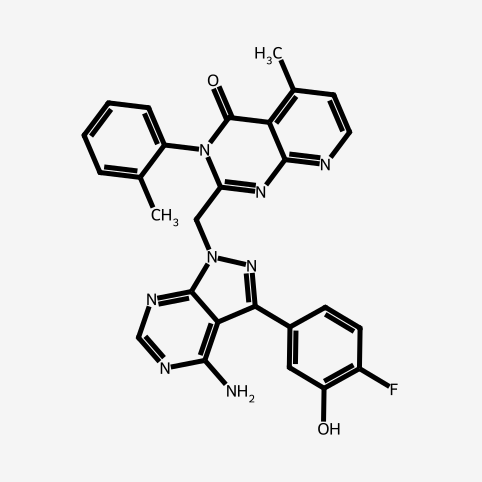 Cc1ccccc1-n1c(Cn2nc(-c3ccc(F)c(O)c3)c3c(N)ncnc32)nc2nccc(C)c2c1=O